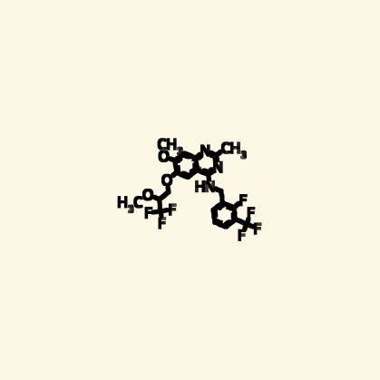 COc1cc2nc(C)nc(NCc3cccc(C(F)(F)F)c3F)c2cc1OCC(OC)C(F)(F)F